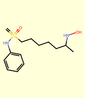 C=S(=O)(CCCCCC(C)NO)Nc1ccccc1